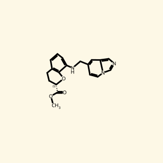 COC(=O)[C@@H]1CCc2cccc(NCc3ccn4cncc4c3)c2O1